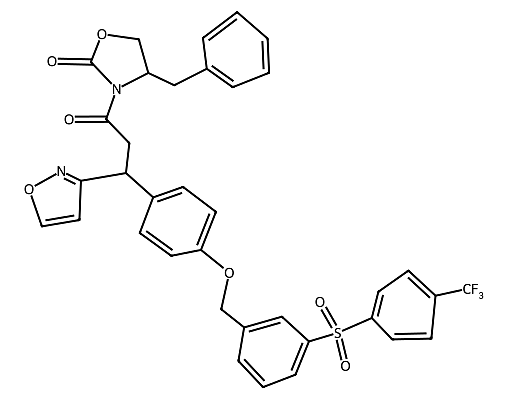 O=C(CC(c1ccc(OCc2cccc(S(=O)(=O)c3ccc(C(F)(F)F)cc3)c2)cc1)c1ccon1)N1C(=O)OCC1Cc1ccccc1